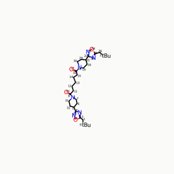 CC(C)(C)Cc1nc(C2CCN(C(=O)CCCCCC(=O)N3CCC(c4noc(CC(C)(C)C)n4)CC3)CC2)no1